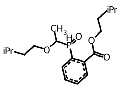 CC(C)CCOC(=O)c1ccccc1[PH](=O)C(C)OCCC(C)C